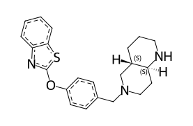 c1ccc2sc(Oc3ccc(CN4CC[C@@H]5NCCC[C@H]5C4)cc3)nc2c1